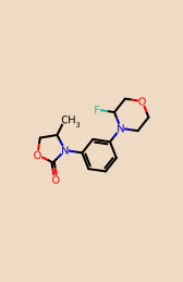 CC1COC(=O)N1c1cccc(N2CCOCC2F)c1